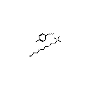 C[N+](C)(C)CCOCCOCCS.Cc1ccc(S(=O)(=O)O)cc1